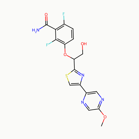 COc1cnc(-c2csc(C(CO)Oc3ccc(F)c(C(N)=O)c3F)n2)cn1